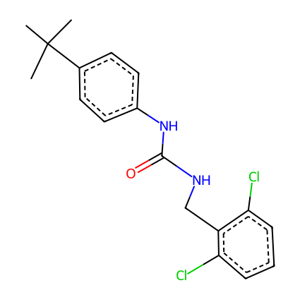 CC(C)(C)c1ccc(NC(=O)NCc2c(Cl)cccc2Cl)cc1